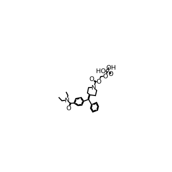 CCN(CC)C(=O)c1ccc(C(=C2CCN(C(=O)OCOP(=O)(O)O)CC2)c2ccccc2)cc1